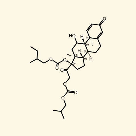 CCC(C)COC(=O)O[C@]1(C(=O)COC(=O)OCC(C)C)CC[C@H]2[C@@H]3CCC4=CC(=O)C=C[C@]4(C)[C@H]3C(O)C[C@@]21C